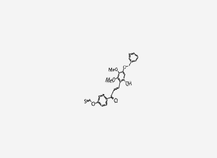 COc1c(OCc2ccccc2)cc(O)c(C=CC(=O)c2ccc(OC=S)cc2)c1OC